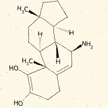 C[C@@]12CCC[C@H]1[C@@H]1[C@@H](N)C=C3CCC(O)=C(O)[C@]3(C)[C@H]1CC2